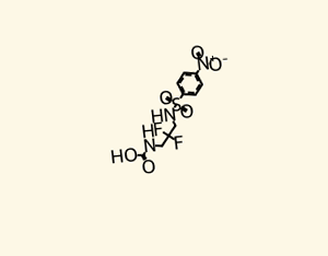 O=C(O)NCC(F)(F)CNS(=O)(=O)c1ccc([N+](=O)[O-])cc1